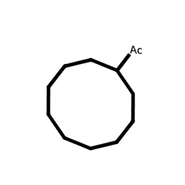 [CH2]C(=O)C1CCCCCCCCC1